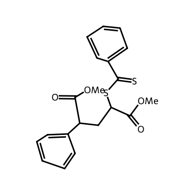 COC(=O)C(CC(C(=O)OC)c1ccccc1)SC(=S)c1ccccc1